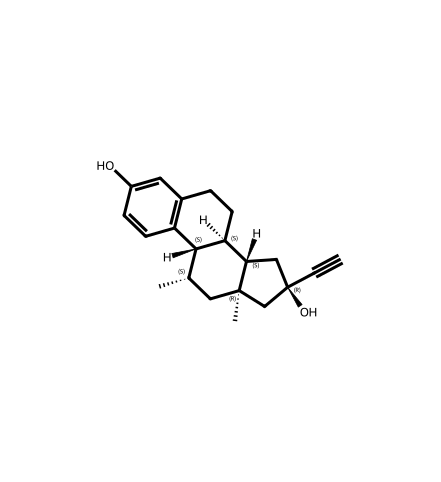 C#C[C@@]1(O)C[C@H]2[C@@H]3CCc4cc(O)ccc4[C@H]3[C@@H](C)C[C@]2(C)C1